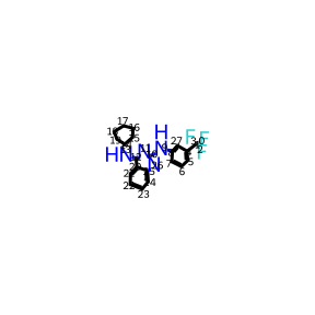 FC(F)(F)c1cccc(Nc2nc(NC3CCCCC3)c3ccccc3n2)c1